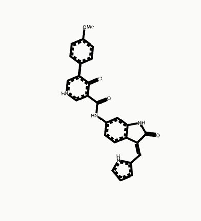 COc1ccc(-c2c[nH]cc(C(=O)Nc3ccc4c(c3)NC(=O)C4=Cc3ccc[nH]3)c2=O)cc1